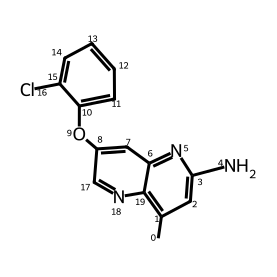 Cc1cc(N)nc2cc(Oc3ccccc3Cl)cnc12